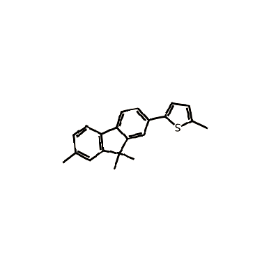 Cc1ccc2c(c1)C(C)(C)c1cc(-c3ccc(C)s3)ccc1-2